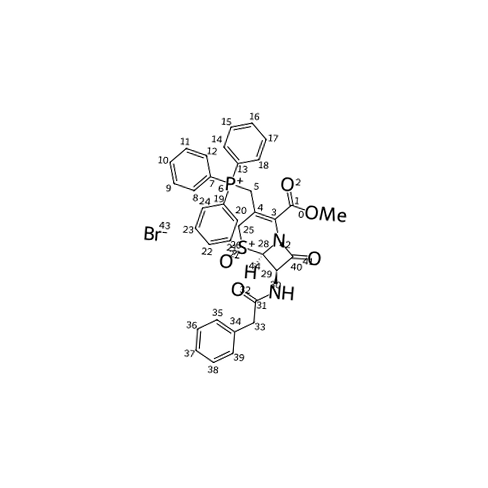 COC(=O)C1=C(C[P+](c2ccccc2)(c2ccccc2)c2ccccc2)C[S+]([O-])[C@@H]2[C@H](NC(=O)Cc3ccccc3)C(=O)N12.[Br-]